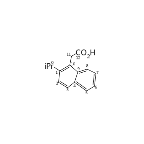 CC(C)c1ccc2ccccc2c1CC(=O)O